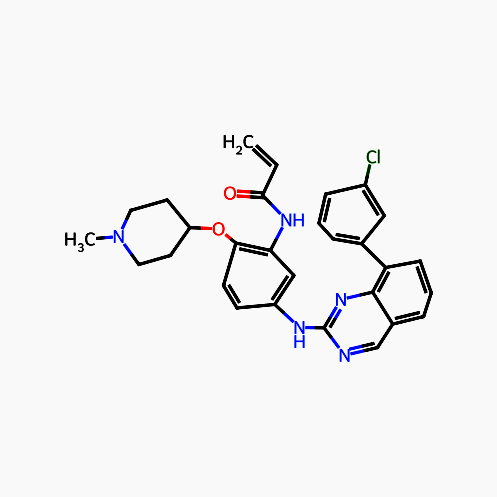 C=CC(=O)Nc1cc(Nc2ncc3cccc(-c4cccc(Cl)c4)c3n2)ccc1OC1CCN(C)CC1